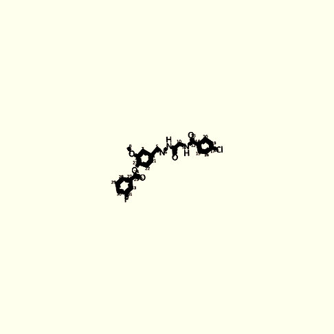 COc1cc(/C=N/NC(=O)CNC(=O)c2ccc(Cl)cc2)ccc1OC(=O)c1cccc(F)c1